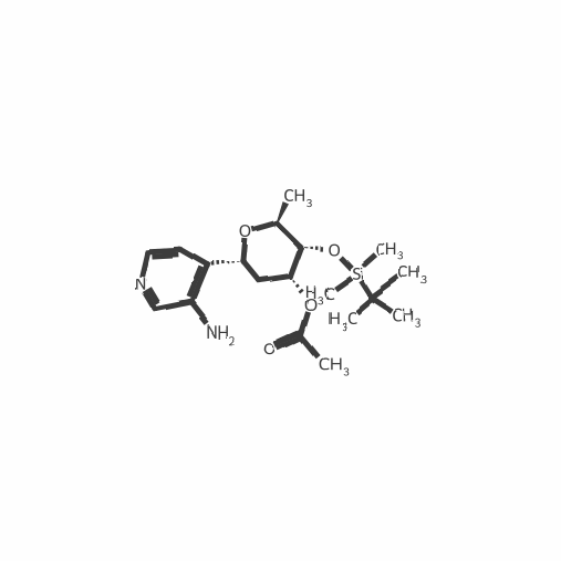 CC(=O)O[C@@H]1C[C@H](c2ccncc2N)O[C@@H](C)[C@@H]1O[Si](C)(C)C(C)(C)C